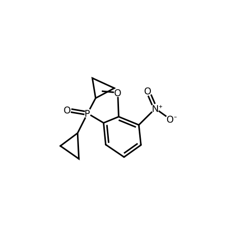 COc1c([N+](=O)[O-])cccc1P(=O)(C1CC1)C1CC1